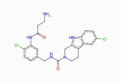 NCCC(=O)Nc1cc(CNC(=O)N2CCc3c([nH]c4ccc(Cl)cc34)C2)ccc1Cl